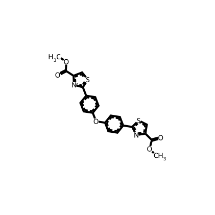 COC(=O)c1csc(-c2ccc(Oc3ccc(-c4nc(C(=O)OC)cs4)cc3)cc2)n1